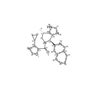 C[C@H]1CN(C(=O)c2ocnc2C2CC2)[C@H](c2cc3ccccc3cn2)c2nc[nH]c21